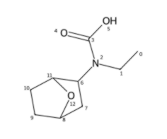 CCN(C(=O)O)C1CC2CCC1O2